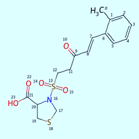 Cc1ccccc1C=CC(=O)CCS(=O)(=O)N1CSCC1C(=O)O